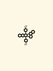 COc1ccc(-c2c3c(c(-c4ccc(OC)cc4)c4cc5ccccc5cc24)-c2cc4ccccc4c4cccc-3c24)cc1